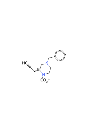 C#CC[C@H]1CN(Cc2ccccc2)CCN1C(=O)O